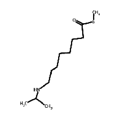 CSC(=O)CCCCCCCNC(C)C